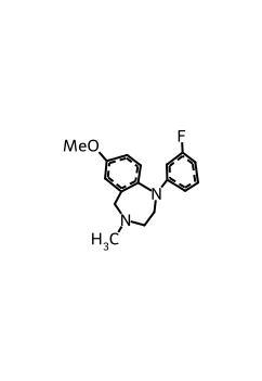 COc1ccc2c(c1)CN(C)CCN2c1cccc(F)c1